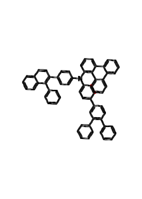 c1ccc(-c2ccc(-c3ccc(N(c4ccc(-c5ccc6ccccc6c5-c5ccccc5)cc4)c4cccc5c6ccccc6c6ccccc6c45)cc3)cc2-c2ccccc2)cc1